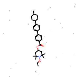 CCON1C(C)(C)CC(OC(=O)c2ccc(-c3ccc(C4CCC(C)CC4)cc3)cc2)CC1(C)C